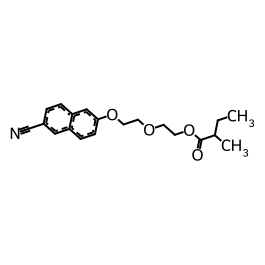 CCC(C)C(=O)OCCOCCOc1ccc2cc(C#N)ccc2c1